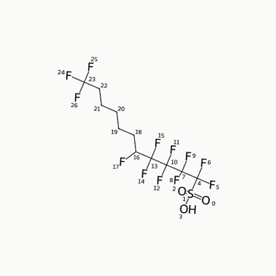 O=S(=O)(O)C(F)(F)C(F)(F)C(F)(F)C(F)(F)C(F)CCCCCC(F)(F)F